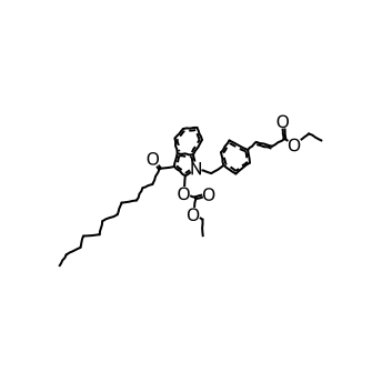 CCCCCCCCCCCC(=O)c1c(OC(=O)OCC)n(Cc2ccc(/C=C/C(=O)OCC)cc2)c2ccccc12